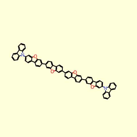 c1ccc2c(c1)c1ccccc1n2-c1ccc2c(c1)oc1cc(-c3ccc4c(c3)oc3cc(-c5ccc6c(c5)oc5cc(-c7ccc8c(c7)oc7cc(-n9c%10ccccc%10c%10ccccc%109)ccc78)ccc56)ccc34)ccc12